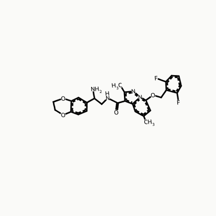 Cc1cc(OCc2c(F)cccc2F)n2nc(C)c(C(=O)NCC(N)c3ccc4c(c3)OCCO4)c2c1